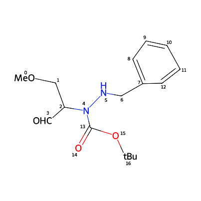 COCC(C=O)N(NCc1ccccc1)C(=O)OC(C)(C)C